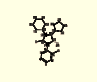 Cc1ccccc1N1C(C)N(C2CCCCC2)C(C2CCCC2)[C@@H]1C